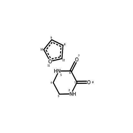 O=C1NCCNC1=O.c1ccoc1